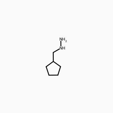 NNCC1CCCC1